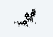 Cc1cc(OC(Cc2ccccc2)c2sc(-c3ccc(C(F)(F)F)cc3)nc2C)ccc1CCC(=O)O